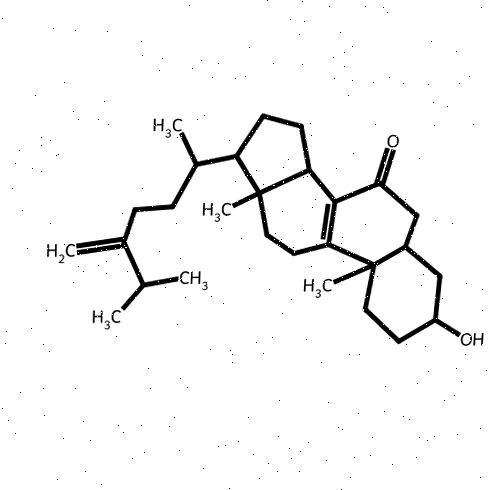 C=C(CCC(C)C1CCC2C3=C(CCC21C)C1(C)CCC(O)CC1CC3=O)C(C)C